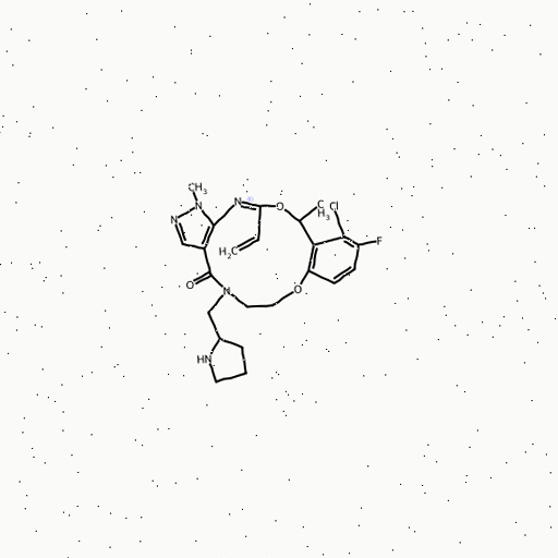 C=C/C1=N\c2c(cnn2C)C(=O)N(CC2CCCN2)CCOc2ccc(F)c(Cl)c2C(C)O1